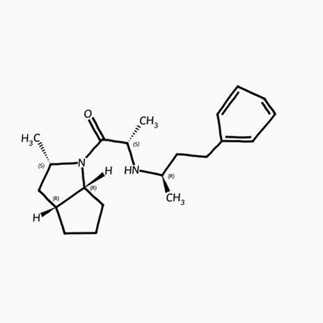 C[C@H](CCc1ccccc1)N[C@@H](C)C(=O)N1[C@@H]2CCC[C@@H]2C[C@@H]1C